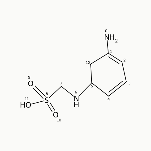 NC1=CC=C[C](NCS(=O)(=O)O)C1